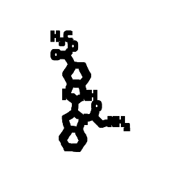 COC(=O)c1ccc2[nH]c(C3Cc4ccccc4N3C(=O)CN)nc2c1